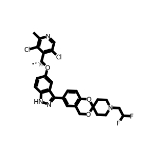 Cc1ncc(Cl)c([C@@H](C)Oc2ccc3[nH]nc(-c4ccc5c(c4)COC4(CCN(CC(F)F)CC4)O5)c3c2)c1Cl